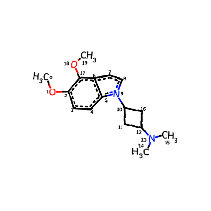 COc1ccc2c(ccn2C2CC(N(C)C)C2)c1OC